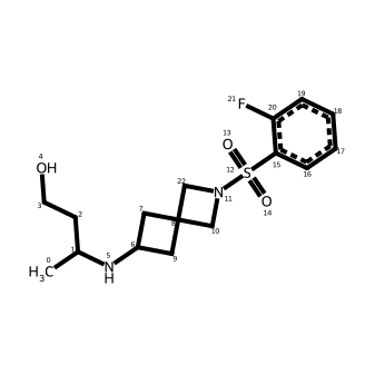 CC(CCO)NC1CC2(C1)CN(S(=O)(=O)c1ccccc1F)C2